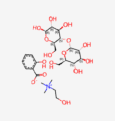 C[N+](C)(C)CCO.O=C([O-])c1ccccc1O.OC[C@H]1O[C@H](O[C@H]2[C@H](O)[C@@H](O)[C@H](O)O[C@@H]2CO)[C@H](O)[C@@H](O)[C@@H]1O